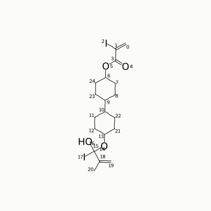 C=C(I)C(=O)OC1CCC(C2CCC(OC(O)(I)C(=C)C)CC2)CC1